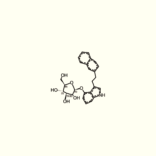 OC[C@H]1O[C@@H](Oc2cccc3[nH]cc(CCc4ccc5ccccc5c4)c23)[C@H](O)[C@@H](O)[C@@H]1O